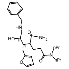 CCCN(CCC)C(=O)CCC(C(N)=O)[C@H](Cc1ccco1)[C@@H](O)CNCc1ccccc1